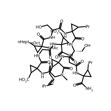 C=CCC1CC1(NC(=O)[C@@H](CO)NC(=O)C1(NC(=O)C(CO)NC(=O)C2(NC(C)=O)CC2CCCCCCC)CC1C(C)C)C(=O)N(C)[C@H](CC(C)C)C(=O)NC1(C(=O)N[C@H](CCCCCCCC)C(=O)NC2(C(=O)NCC(=O)NC3(C(N)=O)CC3C(C)C)CC2C(=O)O)CC1C(=O)O